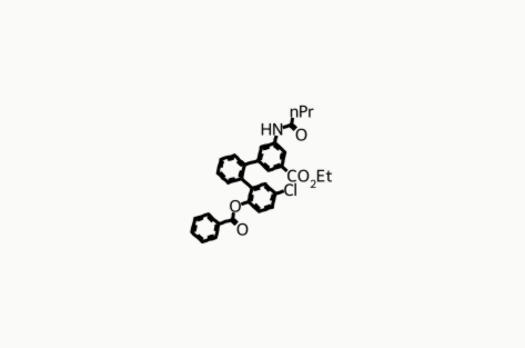 CCCC(=O)Nc1cc(C(=O)OCC)cc(-c2ccccc2-c2cc(Cl)ccc2OC(=O)c2ccccc2)c1